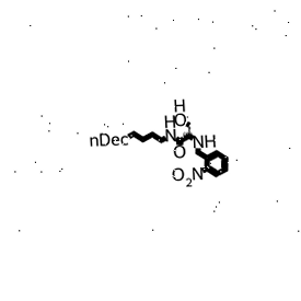 CCCCCCCCCCCCCCNC(=O)[C@H](CO)NCc1ccccc1[N+](=O)[O-]